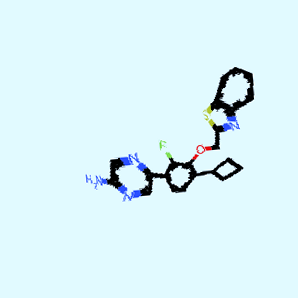 Nc1cnc(-c2ccc(C3CCC3)c(OCc3nc4ccccc4s3)c2F)cn1